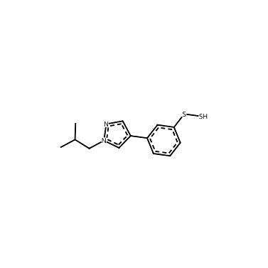 CC(C)Cn1cc(-c2cccc(SS)c2)cn1